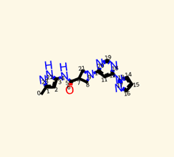 Cc1cc(NC(=O)C2CN(c3cc(-n4cccn4)ncn3)C2)[nH]n1